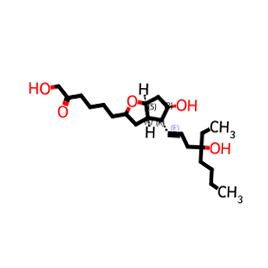 CCCCC(O)(CC)C/C=C/[C@@H]1[C@H]2CC(CCCCC(=O)CO)O[C@H]2C[C@H]1O